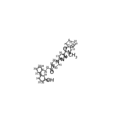 CN(CC12CC3CC(CC(C3)C1)C2)C(=O)c1ccc(N2CCN(C(=O)CCc3ccccc3-c3cccc(O)c3)CC2)nn1